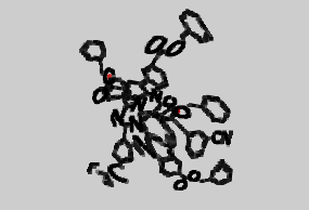 N#Cc1cccc(-c2ccc(-n3c4ccc(C(=O)OCc5ccccc5)cc4c4cc(C(=O)OCc5ccccc5)ccc43)c(-c3nc(-c4ccccc4)nc(-c4ccc(C(F)(F)F)cc4-n4c5ccc(C(=O)OCc6ccccc6)cc5c5cc(C(=O)OCc6ccccc6)ccc54)n3)c2)c1